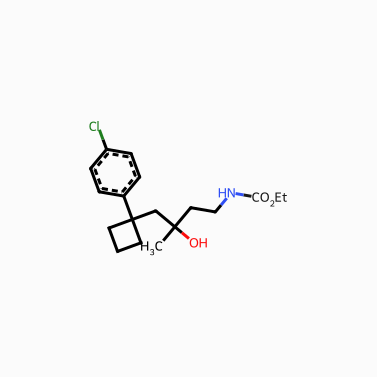 CCOC(=O)NCCC(C)(O)CC1(c2ccc(Cl)cc2)CCC1